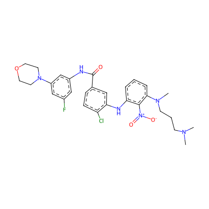 CN(C)CCCN(C)c1cccc(Nc2cc(C(=O)Nc3cc(F)cc(N4CCOCC4)c3)ccc2Cl)c1[N+](=O)[O-]